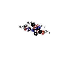 CCS(=O)(=O)c1ccc(OC2CCCCC2)c(-c2cn(C)c(=O)c3c2cc(-c2cnn(C4CCN(C(=O)OC(C)(C)C)CC4)c2)n3S(=O)(=O)c2ccc(C)cc2)c1